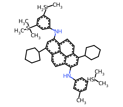 C[SiH2]c1cc(Nc2cc(C3CCCCC3)c3ccc4c(Nc5cc(C)cc([SiH](C)C)c5)cc(C5CCCCC5)c5ccc2c3c45)cc([Si](C)(C)C)c1